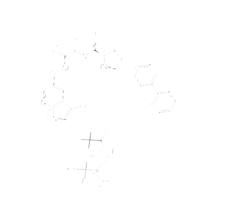 C[C@H](NC(=O)[C@H]1C[C@H](Cc2ccc(-c3ccccc3)cc2)CN1)C(=O)NCc1cnc2[nH]cc(Cl)c2c1.O=C(O)C(F)(F)F.O=C(O)C(F)(F)F